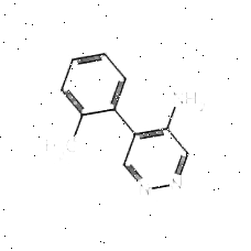 Cc1ccccc1-c1cnncc1N